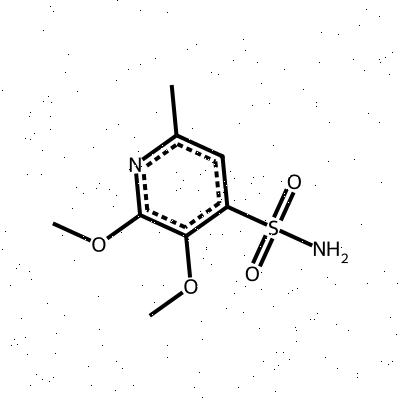 COc1nc(C)cc(S(N)(=O)=O)c1OC